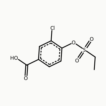 CCS(=O)(=O)Oc1ccc(C(=O)O)cc1Cl